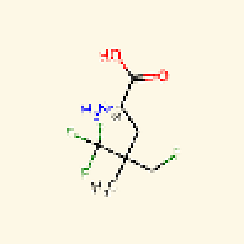 CC(CF)(C[C@H](N)C(=O)O)C(F)(F)F